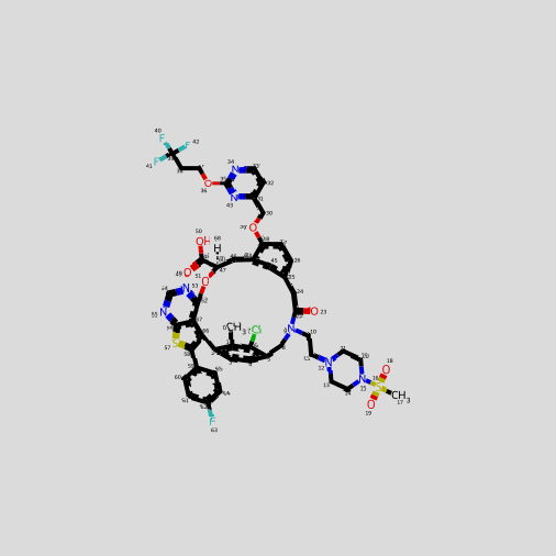 Cc1c2ccc(c1Cl)CN(CCN1CCN(S(C)(=O)=O)CC1)C(=O)Cc1ccc(OCc3ccnc(OCCC(F)(F)F)n3)c(c1)C[C@H](C(=O)O)Oc1ncnc3sc(-c4ccc(F)cc4)c-2c13